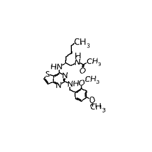 CCCCC(CNC(C)=O)Nc1nc(NCc2ccc(OC)cc2OC)nc2ccsc12